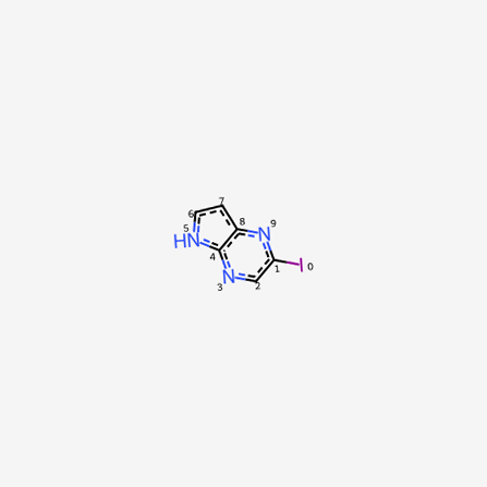 Ic1cnc2[nH]ccc2n1